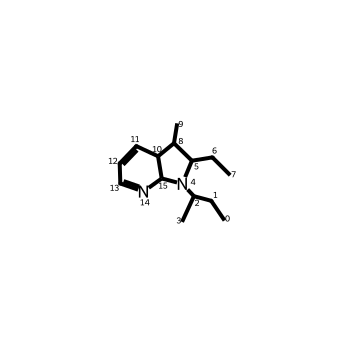 CCC(C)N1C(CC)C(C)C2C=CC=NC21